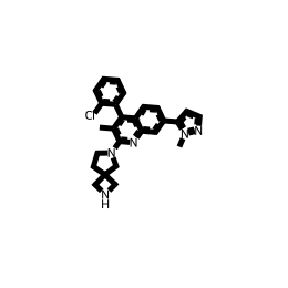 Cc1c(N2CCC3(CNC3)C2)nc2cc(-c3ccnn3C)ccc2c1-c1ccccc1Cl